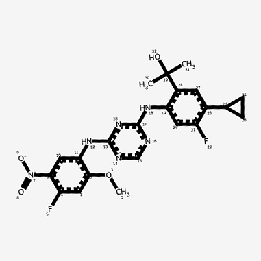 COc1cc(F)c([N+](=O)[O-])cc1Nc1ncnc(Nc2cc(F)c(C3CC3)cc2C(C)(C)O)n1